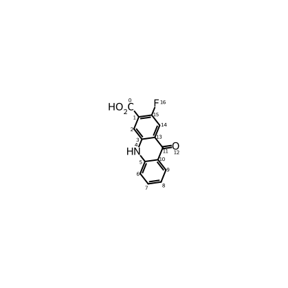 O=C(O)c1cc2[nH]c3ccccc3c(=O)c2cc1F